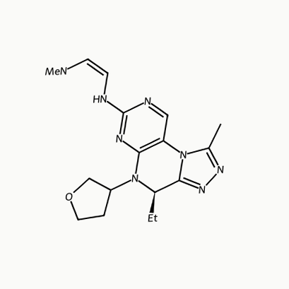 CC[C@@H]1c2nnc(C)n2-c2cnc(N/C=C\NC)nc2N1C1CCOC1